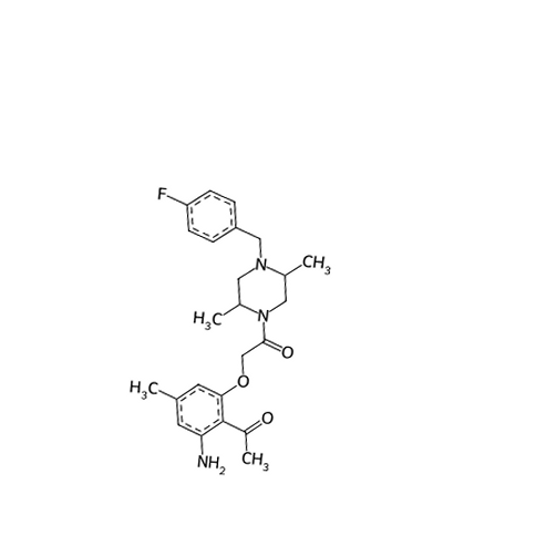 CC(=O)c1c(N)cc(C)cc1OCC(=O)N1CC(C)N(Cc2ccc(F)cc2)CC1C